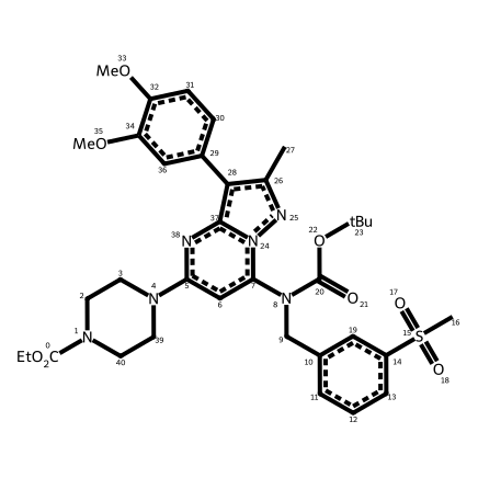 CCOC(=O)N1CCN(c2cc(N(Cc3cccc(S(C)(=O)=O)c3)C(=O)OC(C)(C)C)n3nc(C)c(-c4ccc(OC)c(OC)c4)c3n2)CC1